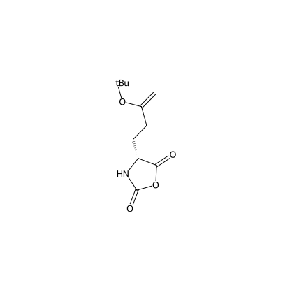 C=C(CC[C@H]1NC(=O)OC1=O)OC(C)(C)C